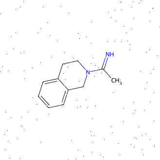 CC(=N)N1CCc2ccccc2C1